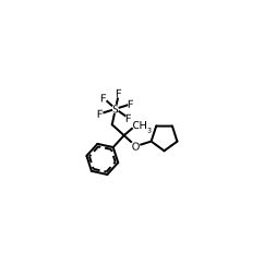 CC(CS(F)(F)(F)(F)F)(OC1CCCC1)c1ccccc1